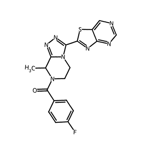 CC1c2nnc(-c3nc4ncncc4s3)n2CCN1C(=O)c1ccc(F)cc1